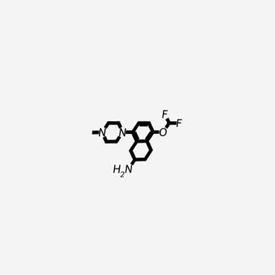 CN1CCN(c2ccc(OC(F)F)c3c2CC(N)CC3)CC1